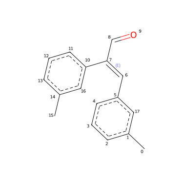 Cc1cccc(/C=C(/C=O)c2cccc(C)c2)c1